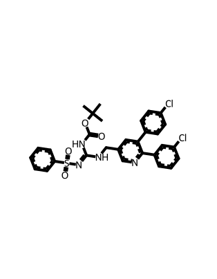 CC(C)(C)OC(=O)N/C(=N\S(=O)(=O)c1ccccc1)NCc1cnc(-c2cccc(Cl)c2)c(-c2ccc(Cl)cc2)c1